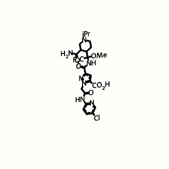 COC(NC(=O)c1cc(C(=O)O)n(CC(=O)Nc2ccc(Cl)cn2)n1)(C1CCN(C(C)C)CC1C(N)=O)C(F)(F)F